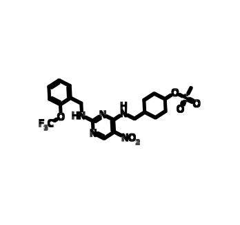 CS(=O)(=O)OC1CCC(CNc2nc(NCc3ccccc3OC(F)(F)F)ncc2[N+](=O)[O-])CC1